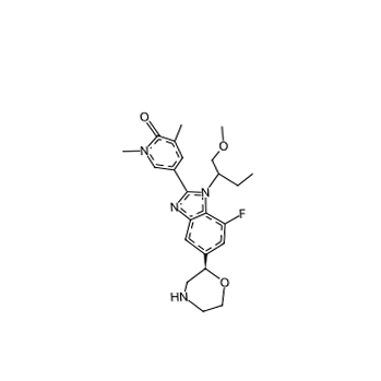 CCC(COC)n1c(-c2cc(C)c(=O)n(C)c2)nc2cc([C@@H]3CNCCO3)cc(F)c21